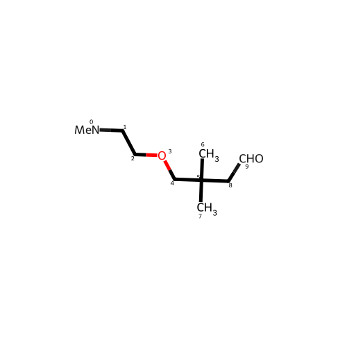 CNCCOCC(C)(C)CC=O